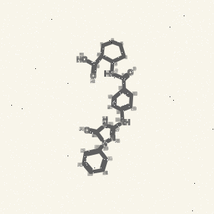 O=C(NC1CCCCC1C(=O)O)c1ccc(Nc2nn(-c3ccccc3)c(=O)[nH]2)cc1